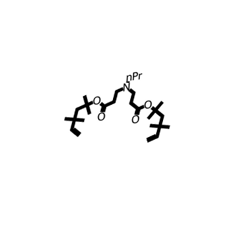 C=CC(C)(C)CC(C)(C)OC(=O)CCN(CCC)CCC(=O)OC(C)(C)CC(C)(C)C=C